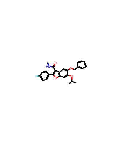 CNC(=O)c1c(-c2ccc(F)cc2)oc2cc(OC(C)C)c(OCc3ccccc3)cc12